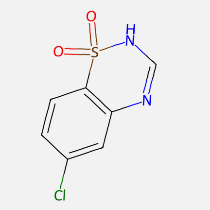 O=S1(=O)NC=Nc2cc(Cl)ccc21